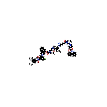 Cc1cc(NCCCCCC(=O)N(C)CCN2CCC(OC(=O)Nc3ccccc3-c3ccccc3)CC2)sc1C(=O)N(C)CCCN(C)C(=O)CO[C@H]1Cc2ccccc2C12CCN(CC[C@@]1(c3ccc(F)cc3)CN(C(=O)c3cc(C(F)(F)F)cc(C(F)(F)F)c3)CO1)CC2